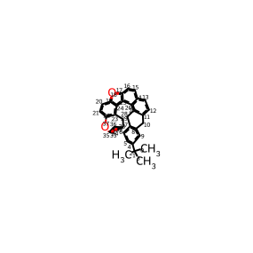 CC(C)(C)c1ccc2c(c1)Cc1ccc3ccc4oc5ccc6c(c5c4c3c1C2)CC1C=CC=CC(=C1)O6